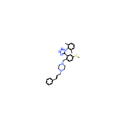 CSc1ccc(CN2CCN(CC=Cc3ccccc3)CC2)c(-c2nnnn2-c2c(C)cccc2C)c1